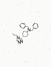 CCCn1cnnc1[C@H]1CC[C@H](N(Cc2ccccc2)Cc2ccccc2)CC1